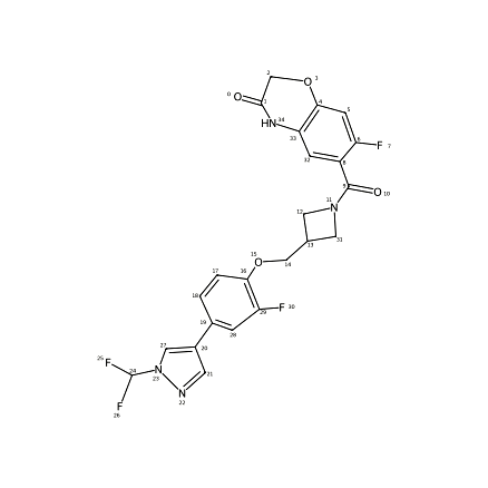 O=C1COc2cc(F)c(C(=O)N3CC(COc4ccc(-c5cnn(C(F)F)c5)cc4F)C3)cc2N1